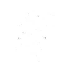 CC(C)n1ncnc1C1c2n[nH]c(=O)c3cc(F)cc(c23)NC1c1ccccc1